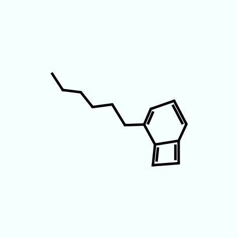 CCCCCCc1cccc2c1=CC=2